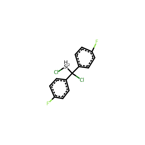 Fc1ccc(C(Cl)([SiH2]Cl)c2ccc(F)cc2)cc1